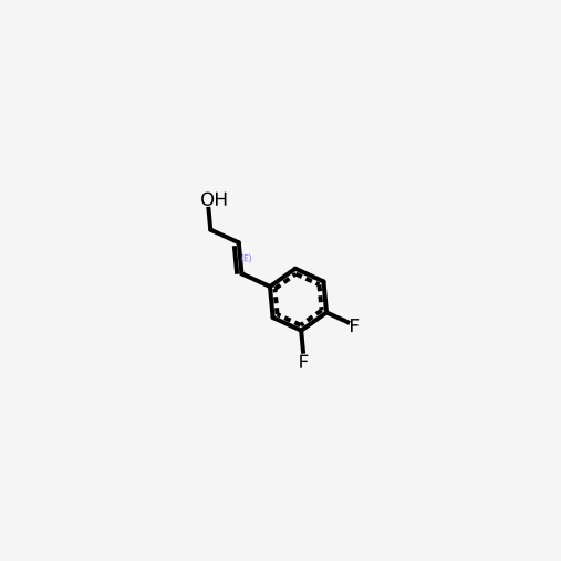 OC/C=C/c1ccc(F)c(F)c1